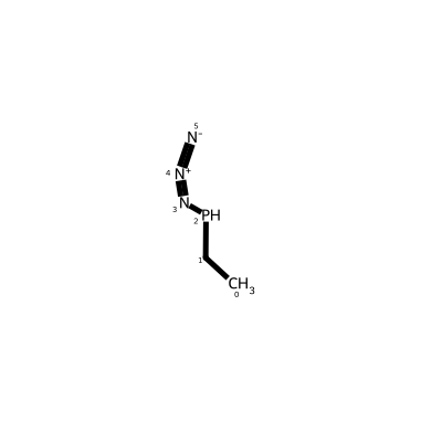 CCPN=[N+]=[N-]